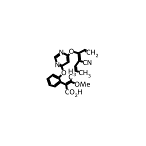 C=CC(Oc1cc(Oc2ccccc2C(C(=O)O)=C(C)OC)ncn1)=C(C#N)C=CC